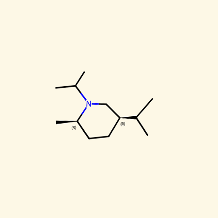 CC(C)[C@H]1CC[C@@H](C)N(C(C)C)C1